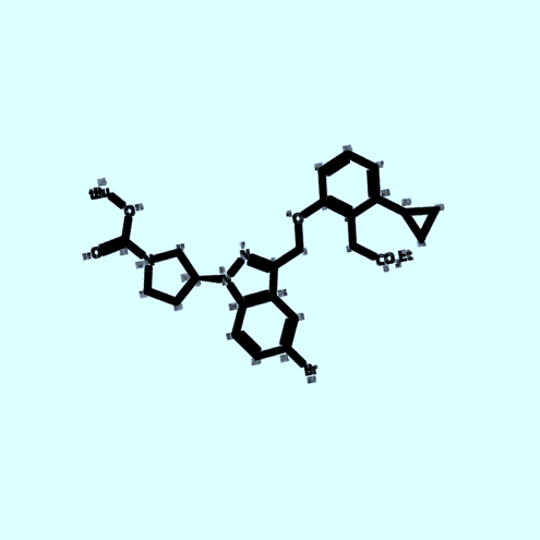 CCOC(=O)Cc1c(OCc2nn([C@H]3CCN(C(=O)OC(C)(C)C)C3)c3ccc(Br)cc23)cccc1C1CC1